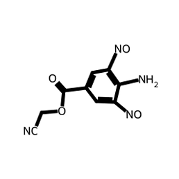 N#CCOC(=O)c1cc(N=O)c(N)c(N=O)c1